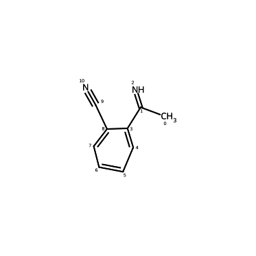 CC(=N)c1ccccc1C#N